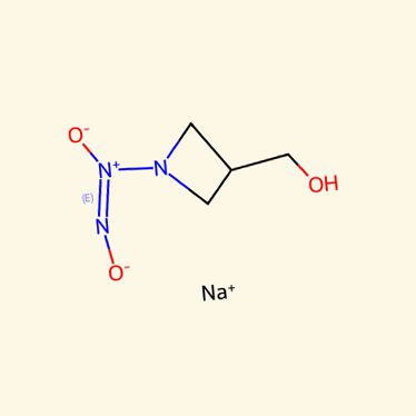 [Na+].[O-]/N=[N+](/[O-])N1CC(CO)C1